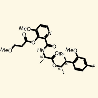 COCCC(=O)Oc1c(OC)ccnc1C(=O)N[C@@H](C)C(=O)O[C@@H](C)[C@H](c1ccc(F)cc1OC)C(C)C